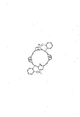 Cc1ccccc1-c1c2nc(cc3ccc([nH]3)c(-c3ccccc3C)c3nc(cc4ccc1[nH]4)C=C3)C=C2